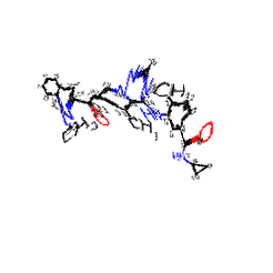 Cc1ccc(C(=O)NC2CC2)cc1Nc1ncnn2cc(C(=O)c3cc4ccccc4n3C)c(C)c12